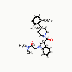 COc1cccc(OC)c1C1CCN(C(=O)C2CN(CC(=O)N(C)C)c3ccccc32)CC1